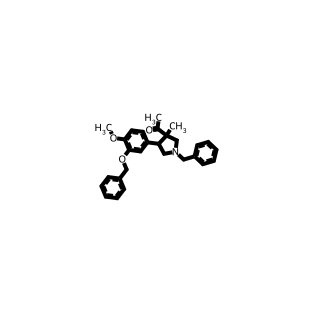 COc1ccc(C2CN(Cc3ccccc3)CC2(C)C(C)=O)cc1OCc1ccccc1